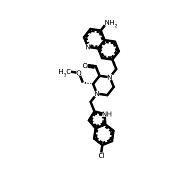 COC[C@@H]1C(C=O)N(Cc2ccc3c(N)ccnc3c2)CCN1Cc1cc2cc(Cl)ccc2[nH]1